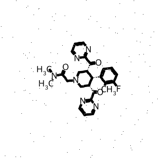 Cc1c(F)cccc1[C@H]1[C@@H](C(=O)c2ncccn2)CN(CC(=O)N(C)C)C[C@H]1C(=O)c1ncccn1